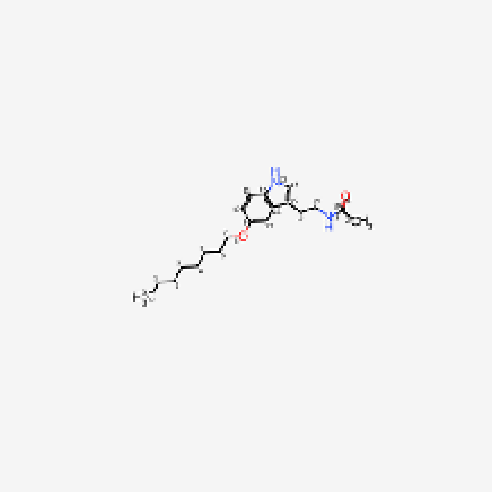 CCCCCCCCOc1ccc2[nH]cc(CCNC(C)=O)c2c1